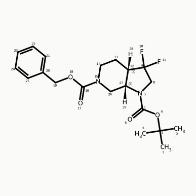 CC(C)(C)OC(=O)N1CC(F)(F)[C@H]2CCN(C(=O)OCc3ccccc3)C[C@H]21